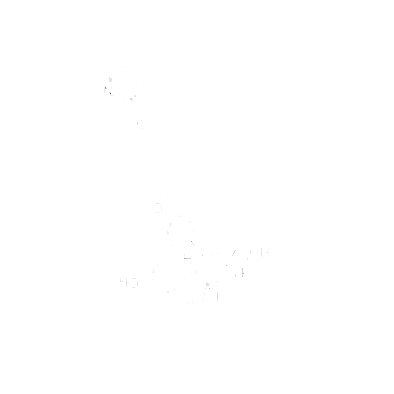 C[C@]12C[C@H](c3ccc(OCCCCCSCc4cccnc4)cc3)[C@@H]3c4ccc(O)cc4CC[C@H]3[C@@H]1CC[C@@H]2O